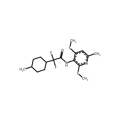 CSc1cc(C)nc(SC)c1NC(=O)C(F)(F)C1CCC(C)CC1